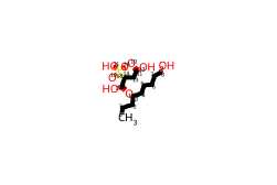 CCCCCCCCCO.O=C(O)CC(C(=O)O)S(=O)(=O)O